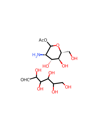 CC(=O)OC1O[C@H](CO)[C@@H](O)[C@H](O)[C@H]1N.O=CC(O)C(O)C(O)C(O)CO